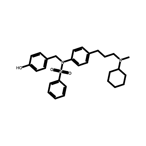 CN(CCCc1ccc(N(Cc2ccc(O)cc2)S(=O)(=O)c2ccccc2)cc1)C1CCCCC1